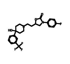 O=C1OC(CCN2CCC(O)(c3cccc(C(F)(F)F)c3)CC2)CN1c1ccc(F)cc1